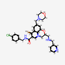 O=C(NCc1ccc(Cl)cc1)c1cn2c3c(cc(CN4CCOCC4)cc3c1=S)OC(CNCc1cccnc1)C2